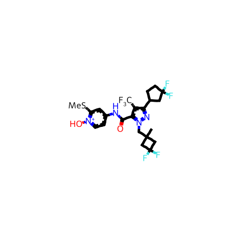 CSc1cc(NC(=O)c2c(C(F)(F)F)c(C3CCC(F)(F)C3)nn2CC2(C)CC(F)(F)C2)cc[n+]1O